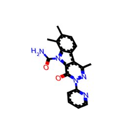 Cc1ccc2c3c(C)nn(-c4ccccn4)c(=O)c3n(C(N)=O)c2c1C